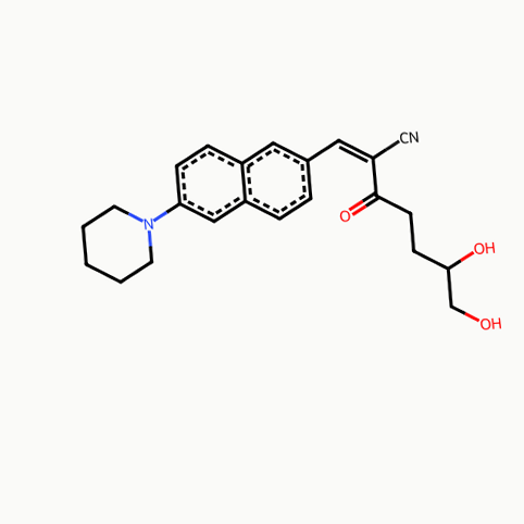 N#CC(=Cc1ccc2cc(N3CCCCC3)ccc2c1)C(=O)CCC(O)CO